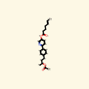 CCC=CCCCC(=O)Oc1ccc(-c2ccc(CCC(C)OC(=O)CC)cc2)nc1